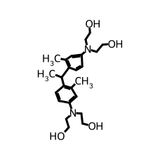 Cc1cc(N(CCO)CCO)ccc1C(C)c1ccc(N(CCO)CCO)cc1C